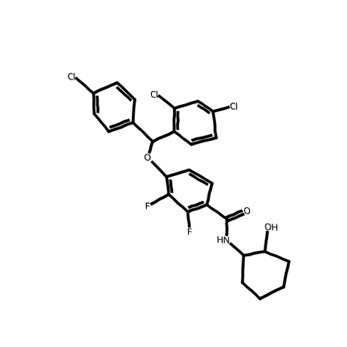 O=C(NC1CCCCC1O)c1ccc(OC(c2ccc(Cl)cc2)c2ccc(Cl)cc2Cl)c(F)c1F